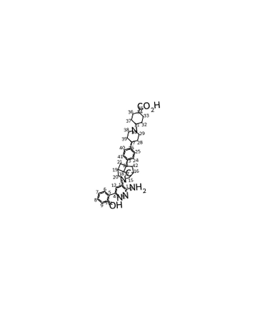 Nc1nnc(-c2ccccc2O)cc1N1CC2CC3C(C1)CC3(c1ccc(C3CCN([C@H]4CC[C@H](C(=O)O)CC4)CC3)cc1)C2